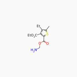 CCOC(=O)c1c(C(=O)OCN)sc(C)c1CC